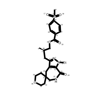 CCn1nc(C[C@@H](C)COC(=O)c2ccc(S(C)(=O)=O)cc2)c2c1C(=O)NCC1(CCOCC1)C2